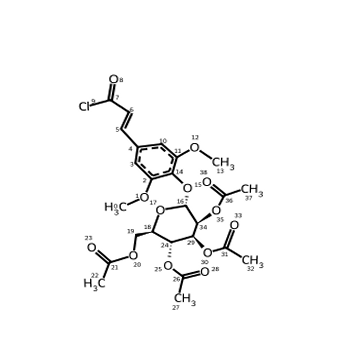 COc1cc(/C=C/C(=O)Cl)cc(OC)c1O[C@H]1O[C@H](COC(C)=O)[C@@H](OC(C)=O)[C@H](OC(C)=O)[C@@H]1OC(C)=O